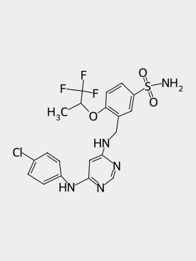 CC(Oc1ccc(S(N)(=O)=O)cc1CNc1cc(Nc2ccc(Cl)cc2)ncn1)C(F)(F)F